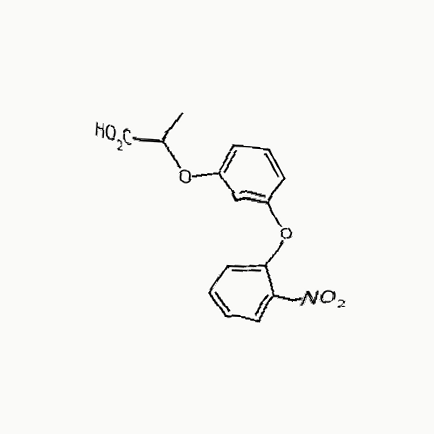 CC(Oc1cccc(Oc2ccccc2[N+](=O)[O-])c1)C(=O)O